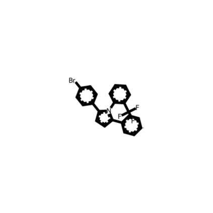 FC(F)(F)c1ccccc1-n1c(-c2cc[c]cc2)ccc1-c1ccc(Br)cc1